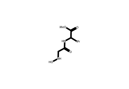 COC(=O)C(NC(=O)CNO)C(C)C